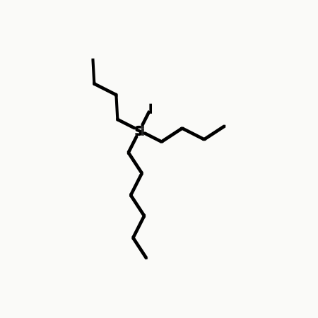 CCCCCC[Si](I)(CCCC)CCCC